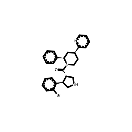 O=C([C@@H]1CNC[C@H]1c1ccccc1Br)N1CC[C@H](c2ccccn2)C[C@@H]1c1ccccc1